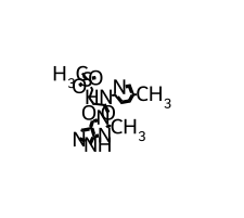 Cc1ccc(NC(=O)C(CCS(C)(=O)=O)Oc2nc(C)nc3[nH]ncc23)nc1